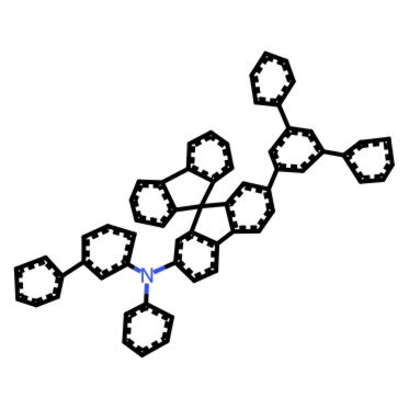 c1ccc(-c2cc(-c3ccccc3)cc(-c3ccc4c(c3)C3(c5ccccc5-c5ccccc53)c3cc(N(c5ccccc5)c5cccc(-c6ccccc6)c5)ccc3-4)c2)cc1